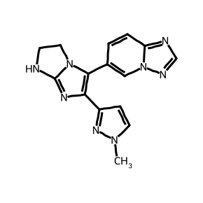 Cn1ccc(-c2nc3n(c2-c2ccc4ncnn4c2)CCN3)n1